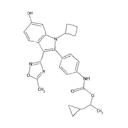 Cc1nc(-c2c(-c3ccc(NC(=O)OC(C)C4CC4)cc3)n(C3CCC3)c3cc(O)ccc23)no1